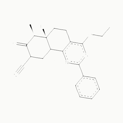 CCOc1nc(-c2ccccc2)nc2c1CC[C@H]1[C@H](C)C(=O)C(C#N)C[C@]21C